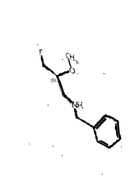 CO[C@H](CF)CNCc1ccccc1